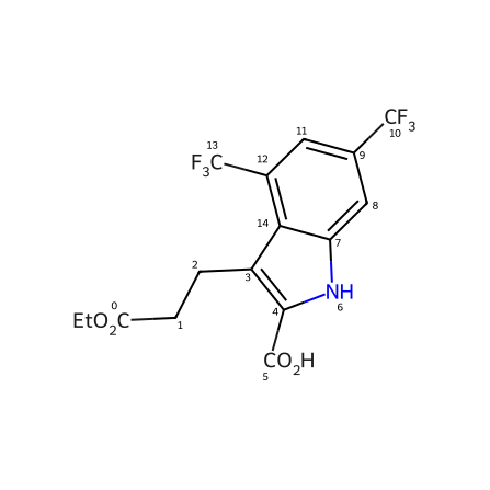 CCOC(=O)CCc1c(C(=O)O)[nH]c2cc(C(F)(F)F)cc(C(F)(F)F)c12